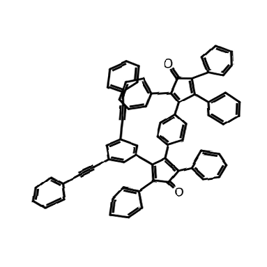 O=C1C(c2ccccc2)=C(c2ccccc2)C(c2ccc(C3=C(c4ccccc4)C(=O)C(c4ccccc4)=C3c3cc(C#Cc4ccccc4)cc(C#Cc4ccccc4)c3)cc2)=C1c1ccccc1